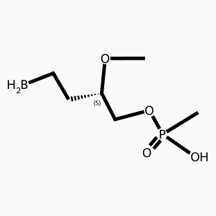 BCC[C@@H](COP(C)(=O)O)OC